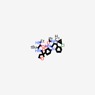 CCNC(O)[C@H](NC(=O)C1(c2ccc3nc([C@@H](NC(=O)C(C)C)[C@H](c4ccccc4Cl)C4(C)CC4)[nH]c3c2)CCOC1)C(C)(C)C